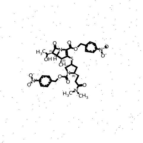 CC(O)[C@H]1C(=O)N2C(C(=O)OCc3ccc([N+](=O)[O-])cc3)=C(SC3C[C@@H](CCC(=O)N(C)C)N(C(=O)OCc4ccc([N+](=O)[O-])cc4)C3)[C@@H](C)[C@H]12